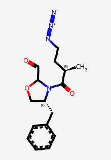 C[C@H](CCN=[N+]=[N-])C(=O)N1C(C=O)OC[C@H]1Cc1ccccc1